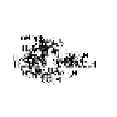 C/C=C(/C)C(=O)O[C@H]1C(C)=C2[C@H]([C@@H]1OC(=O)CCCCCCC)[C@@](C)(OC(C)=O)C[C@H](OC(=O)C(C)C(C)NC(=O)C[C@H](N)C(=O)N[C@@H](CCC(=O)N[C@@H](CCC(=O)N[C@@H](CCC(=O)N[C@@H](CCC(=O)O)C(=O)O)C(=O)O)C(=O)O)C(=O)O)[C@@]1(O)[C@H]2OC(=O)[C@@]1(C)O